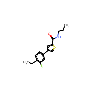 CCCNC(=O)c1cc(-c2ccc(CC)c(F)c2)cs1